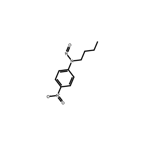 CCCCN(N=O)c1ccc([N+](=O)[O-])cc1